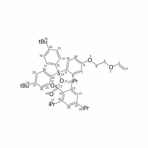 C=COCCOc1ccc(S(OS(=O)(=O)c2c(C(C)C)cc(C(C)C)cc2C(C)C)(c2ccc(C(C)(C)C)cc2)c2ccc(C(C)(C)C)cc2)cc1